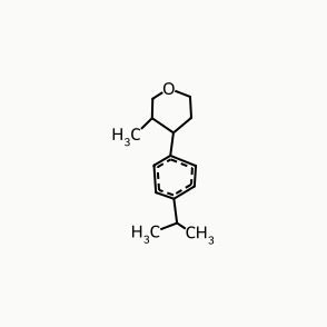 CC(C)c1ccc(C2CCOCC2C)cc1